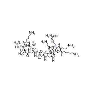 CC(NC(=O)[C@@H](NC(=O)C(N)CCCCN)[C@@H](O)CN)C(=O)NCC(=O)N[C@H](CCCN)C(=O)N1CCCC1C(=O)NC(Cc1cnc[nH]1)C(=O)N[C@@H](CCCCN)C(=O)N/C(=C\CCNC(=N)N)C(=O)N[C@@H](CCCCN)C(=O)NCCCCCN